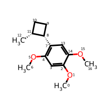 COc1cc(OC)c([C@H]2CC[C@H]2C)cc1OC